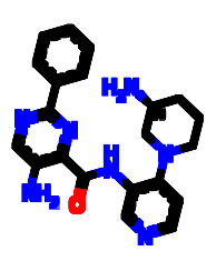 Nc1cnc(-c2ccccc2)nc1C(=O)Nc1cnccc1N1CCC[C@H](N)C1